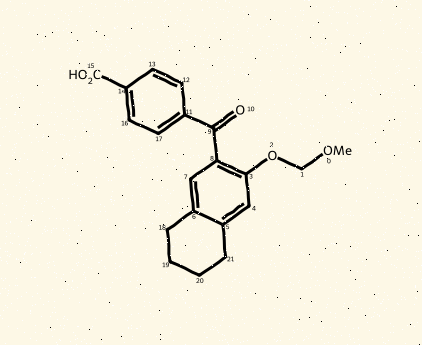 COCOc1cc2c(cc1C(=O)c1ccc(C(=O)O)cc1)CCCC2